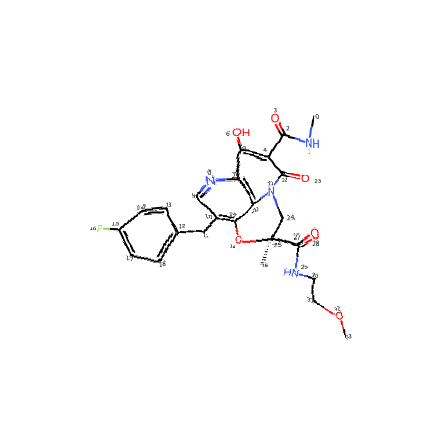 CNC(=O)c1c(O)c2ncc(Cc3ccc(F)cc3)c3c2n(c1=O)C[C@@](C)(C(=O)NCCOC)O3